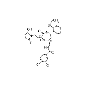 CC[C@H](CN1CC[C@@H](CNC(=O)c2ccc(Cl)c(Cl)c2)N[C@@H](CCN2C(=O)CCC2O)C1=O)c1ccccc1